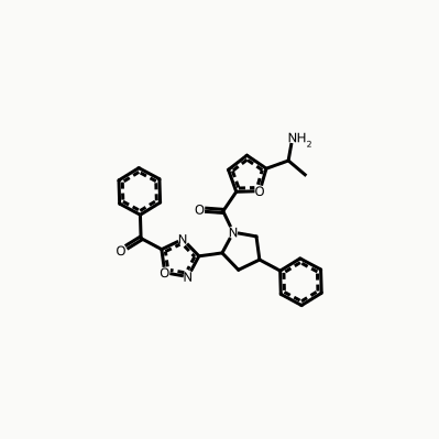 CC(N)c1ccc(C(=O)N2CC(c3ccccc3)CC2c2noc(C(=O)c3ccccc3)n2)o1